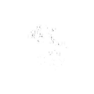 C=C(ON=C(C(=O)OC)c1csc(NC=O)n1)C(=O)OC(c1ccccc1)c1ccccc1